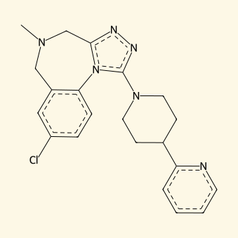 CN1Cc2cc(Cl)ccc2-n2c(nnc2N2CCC(c3ccccn3)CC2)C1